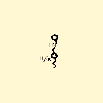 COc1cc(CCNCc2ccccc2)ccc1CC=O